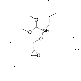 CCC[SiH](OCC1CO1)C(OC)OC